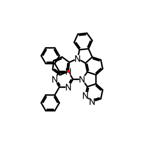 c1ccc(-c2nc(-c3ccccc3)nc(-n3c4nnccc4c4ccc5c6ccccc6n(-c6ccccc6)c5c43)n2)cc1